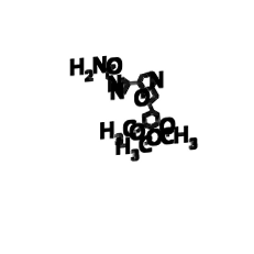 COc1cc(-c2cc3nccc(-c4cnn(CC(N)=O)c4)c3o2)cc(OC)c1OC